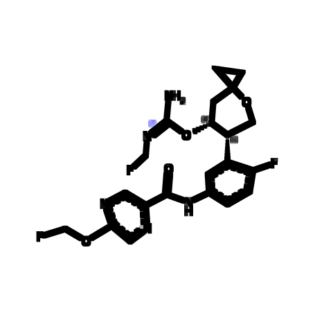 N/C(=N/CF)O[C@@H]1CC2(CC2)OC[C@@H]1c1cc(NC(=O)c2cnc(OCF)cn2)ccc1F